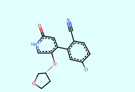 N#Cc1ccc(Cl)cc1-c1cc(=O)[nH]cc1O[C@@H]1CCOC1